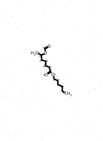 CCCCCCOC(=O)CCCCC(C)OC=O